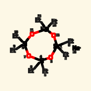 CC[Si]1(CC)O[Si](CC)(CC)O[Si](CC)(CC)O[Si](CC)(CC)O1.[Na]